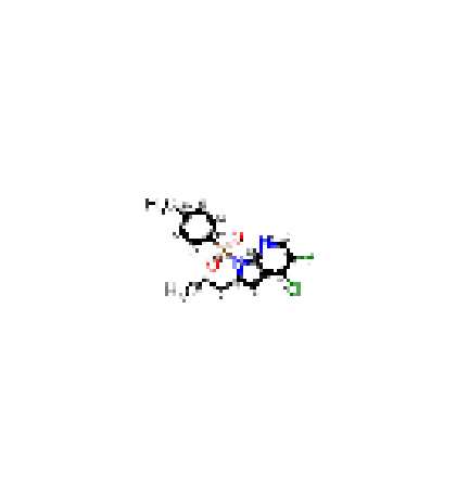 CCCc1cc2c(Cl)c(Br)cnc2n1S(=O)(=O)c1ccc(C)cc1